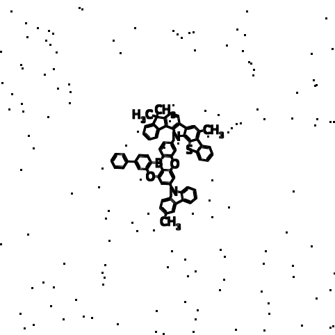 Cc1ccc2c(c1)c1ccccc1n2-c1cc2c3c(c1)Oc1cc(-n4c5c6c(ccc5c5cc(C)c7c8ccccc8sc7c54)C(C)(C)c4ccccc4-6)ccc1B3c1ccc(-c3ccccc3)cc1O2